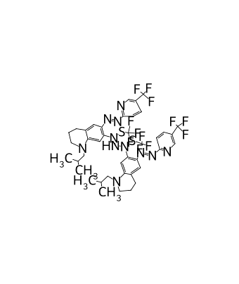 CC(C)CN1CCCc2cc(/N=N/c3ccc(C(F)(F)F)cn3)c(N(NN(SC(F)(F)F)c3cc4c(cc3/N=N/c3ccc(C(F)(F)F)cn3)CCCN4CC(C)C)SC(F)(F)F)cc21